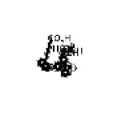 O=C(O)CCCCCCCc1cccc2ccccc12.O=C1OC(c2ccc(O)cc2)(c2ccc(OP(=O)(O)OP(=O)(O)O)cc2)c2ccccc21